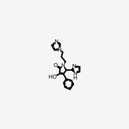 O=C1C(O)=C(c2ccccc2)C(c2ncc[nH]2)N1CCCn1ccnc1